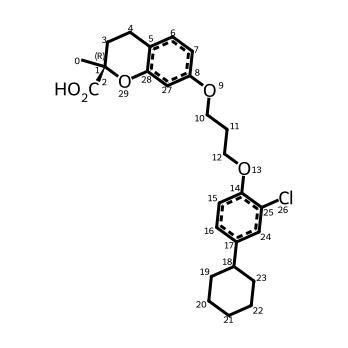 C[C@]1(C(=O)O)CCc2ccc(OCCCOc3ccc(C4CCCCC4)cc3Cl)cc2O1